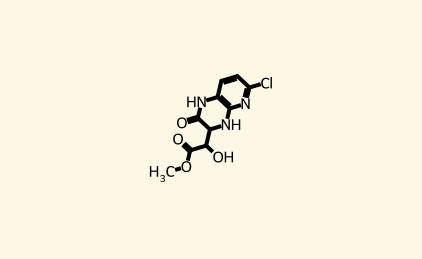 COC(=O)C(O)C1Nc2nc(Cl)ccc2NC1=O